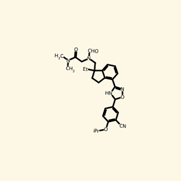 CCC1(CN(C=O)CC(=O)N(C)C)CCc2c(C3=NOC(c4ccc(OC(C)C)c(C#N)c4)N3)cccc21